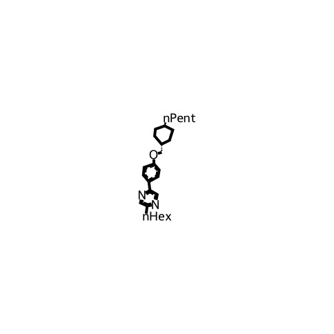 CCCCCCc1cnc(-c2ccc(OC[C@H]3CC[C@H](CCCCC)CC3)cc2)cn1